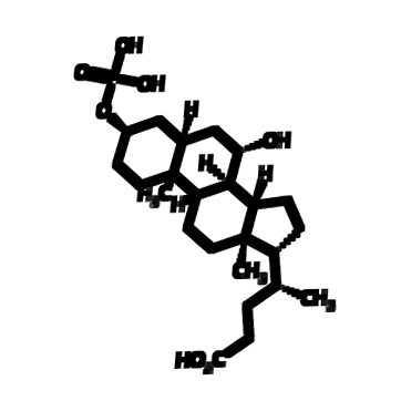 C[C@H](CCC(=O)O)[C@H]1CC[C@H]2[C@@H]3[C@@H](O)C[C@@H]4C[C@H](OP(=O)(O)O)CC[C@]4(C)[C@H]3CC[C@]12C